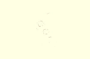 CC(C)(C)OC(=O)c1ccc(-c2nc(C3CCC(=O)C3)cnc2N)cc1F